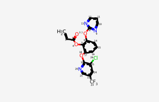 C=CC(=O)Oc1c(Oc2ncccn2)cccc1Oc1ncc(C(F)(F)F)cc1Cl